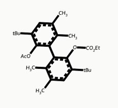 CCOC(=O)Oc1c(C(C)(C)C)cc(C)c(C)c1-c1c(C)c(C)cc(C(C)(C)C)c1OC(C)=O